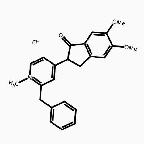 COc1cc2c(cc1OC)C(=O)C(c1cc[n+](C)c(Cc3ccccc3)c1)C2.[Cl-]